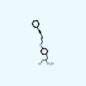 CCOC(=O)[C@H](Cc1ccc(OCC=CC#Cc2ccccc2)cc1)OCC